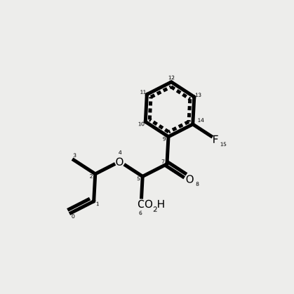 C=CC(C)OC(C(=O)O)C(=O)c1ccccc1F